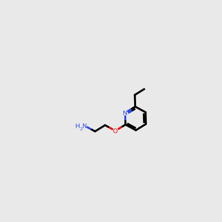 CCc1cccc(OCCN)n1